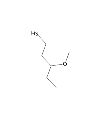 CCC(CCS)OC